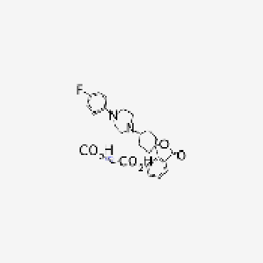 O=C(O)/C=C\C(=O)O.O=C1O[C@]2(CC[C@H](N3CCN(c4ccc(F)cc4)CC3)CC2)c2ccccc21